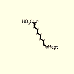 CCCCCCCCCCCCCC=C(I)C(=O)O